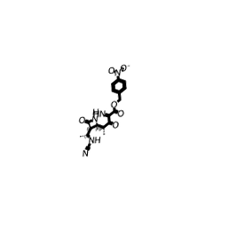 C[C@@H](NC#N)[C@H]1C(=O)N[C@@H]1[C@@H](C)C(=O)C(=N)C(=O)OCc1ccc([N+](=O)[O-])cc1